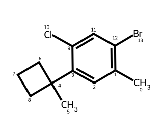 Cc1cc(C2(C)CCC2)c(Cl)cc1Br